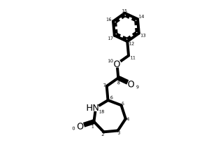 O=C1CCCCC(CC(=O)OCc2ccccc2)N1